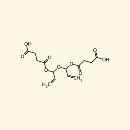 C=CC(OC(=O)CCC(=O)O)OC(C=C)OC(=O)CCC(=O)O